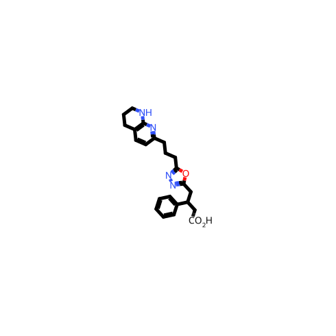 O=C(O)CC(Cc1nnc(CCCc2ccc3c(n2)NCCC3)o1)c1ccccc1